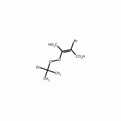 CCC(C)(C)OO/C(C(=O)O)=C(\C(=O)O)C(C)C